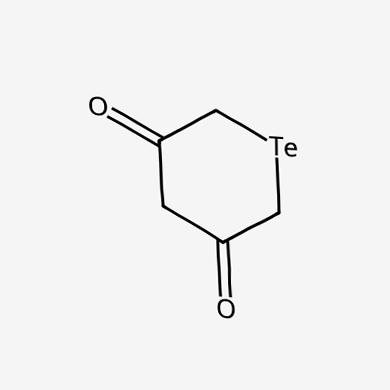 O=C1C[Te]CC(=O)C1